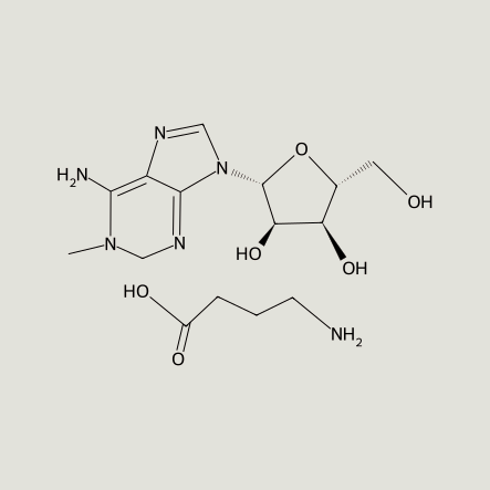 CN1CN=c2c(ncn2[C@@H]2O[C@H](CO)[C@@H](O)[C@H]2O)=C1N.NCCCC(=O)O